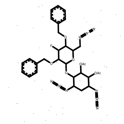 CC(=O)OC1C(N=[N+]=[N-])CC(N=[N+]=[N-])C(OC2OC(CN=[N+]=[N-])C(OCc3ccccc3)C(F)C2OCc2ccccc2)C1OC(C)=O